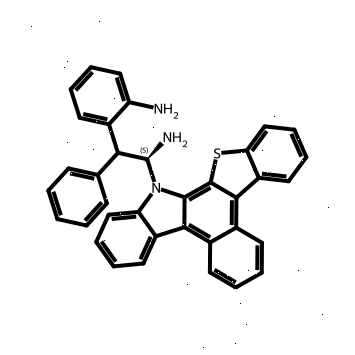 Nc1ccccc1C(c1ccccc1)[C@@H](N)n1c2ccccc2c2c3ccccc3c3c4ccccc4sc3c21